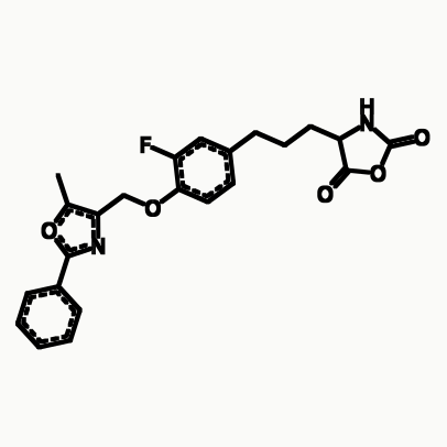 Cc1oc(-c2ccccc2)nc1COc1ccc(CCCC2NC(=O)OC2=O)cc1F